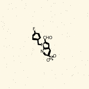 CS(=O)(=O)c1cnc2c(c1)cc(C=O)n2Cc1ccc(F)cc1